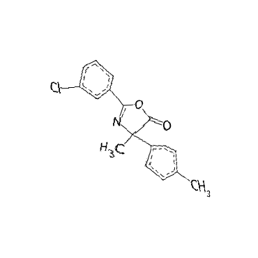 Cc1ccc(C2(C)N=C(c3cccc(Cl)c3)OC2=O)cc1